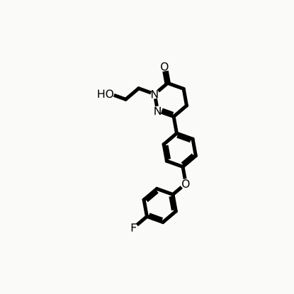 O=C1CCC(c2ccc(Oc3ccc(F)cc3)cc2)=NN1CCO